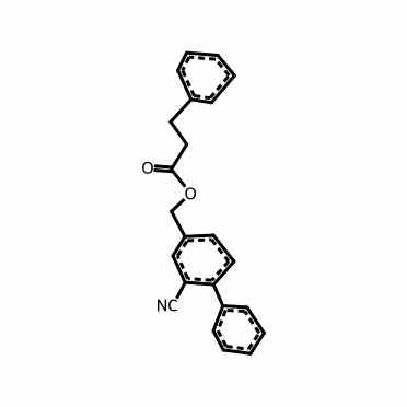 N#Cc1cc(COC(=O)CCc2ccccc2)ccc1-c1ccccc1